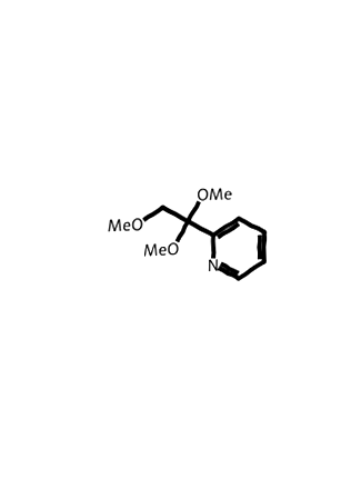 COCC(OC)(OC)c1ccccn1